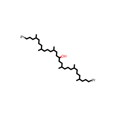 CC(C)CCCC(C)CCCC(C)CCCC(C)CCC(O)CCC(C)CCCC(C)CCCC(C)CCCC(C)C